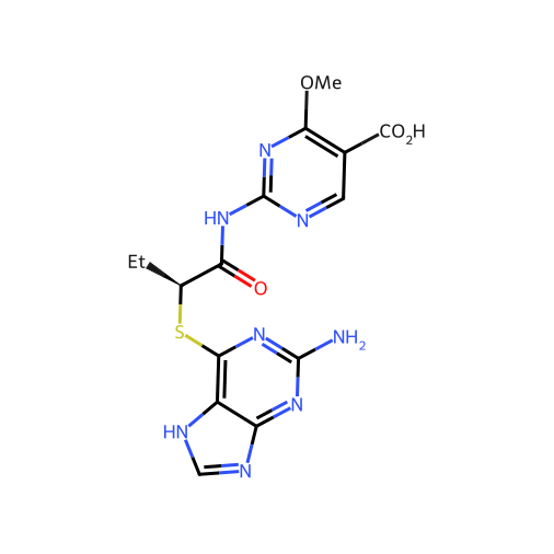 CC[C@H](Sc1nc(N)nc2nc[nH]c12)C(=O)Nc1ncc(C(=O)O)c(OC)n1